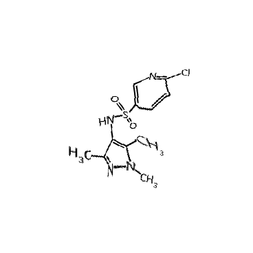 Cc1nn(C)c(C)c1NS(=O)(=O)c1ccc(Cl)nc1